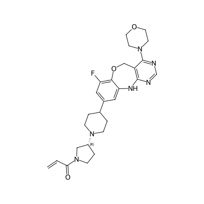 C=CC(=O)N1CC[C@@H](N2CCC(c3cc(F)c4c(c3)Nc3ncnc(N5CCOCC5)c3CO4)CC2)C1